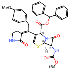 COc1ccc(CC(C2=CS[C@@H]3[C@H](NC(=O)OC(C)(C)C)C(=O)N3[C@H]2C(=O)OC(c2ccccc2)c2ccccc2)=C2CCNC2=O)cc1